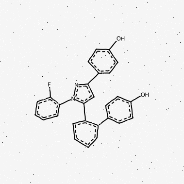 Oc1ccc(-c2cc(-c3ccccc3-c3ccc(O)cc3)n(-c3ccccc3F)n2)cc1